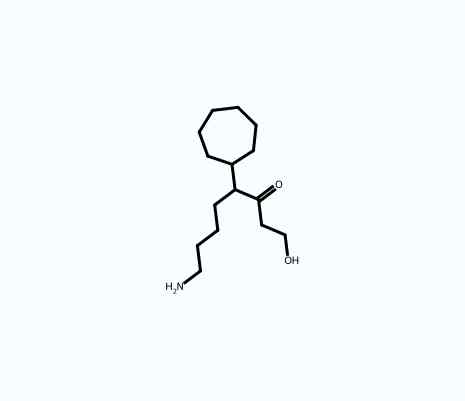 NCCCCC(C(=O)CCO)C1CCCCCC1